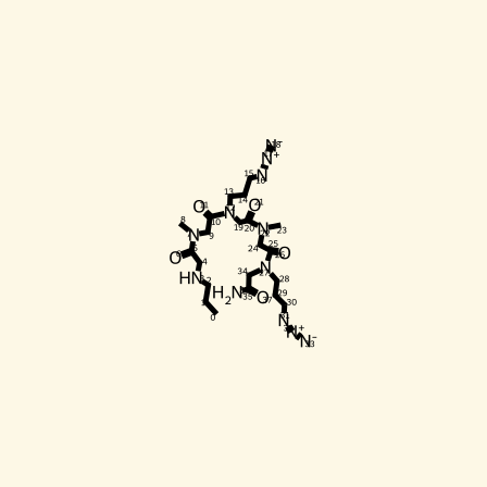 CCCNCC(=O)N(C)CC(=O)N(CCCN=[N+]=[N-])CC(=O)N(C)CC(=O)N(CCCN=[N+]=[N-])CC(N)=O